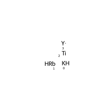 [KH].[RbH].[Ti].[Y]